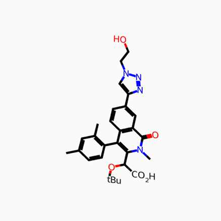 Cc1ccc(-c2c(C(OC(C)(C)C)C(=O)O)n(C)c(=O)c3cc(-c4cn(CCO)nn4)ccc23)c(C)c1